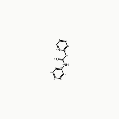 O=C(Cc1ccccn1)Nc1ccccc1